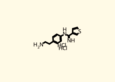 Cl.Cl.N=C(Nc1ccc(CCN)cc1)c1ccsc1